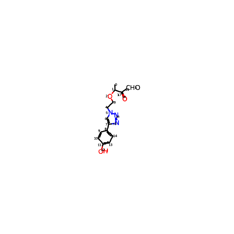 CC(OCCn1cc(-c2ccc(O)cc2)nn1)C(=O)C=O